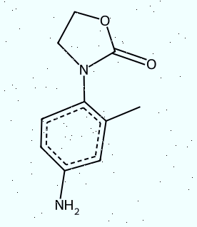 Cc1cc(N)ccc1N1CCOC1=O